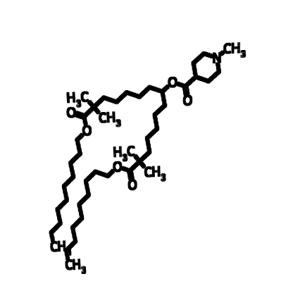 CCCCCCCCCCOC(=O)C(C)(C)CCCCCC(CCCCCC(C)(C)C(=O)OCCCCCCCCCC)OC(=O)C1CCN(C)CC1